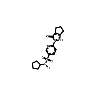 CCN(C1CCCC1)S(=O)(=O)c1ccc(-n2[nH]c3c(c2=O)CCC3)nc1